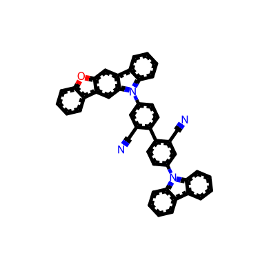 N#Cc1cc(-n2c3ccccc3c3ccccc32)ccc1-c1ccc(-n2c3ccccc3c3cc4oc5ccccc5c4cc32)cc1C#N